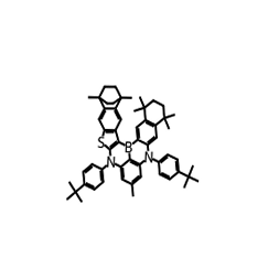 Cc1cc2c3c(c1)N(c1ccc(C(C)(C)C)cc1)c1sc4cc5c(cc4c1B3c1cc3c(cc1N2c1ccc(C(C)(C)C)cc1)C(C)(C)CCC3(C)C)C1(C)CCC5(C)CC1